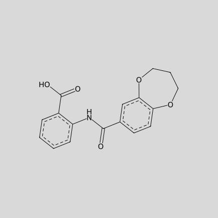 O=C(Nc1ccccc1C(=O)O)c1ccc2c(c1)OCCCO2